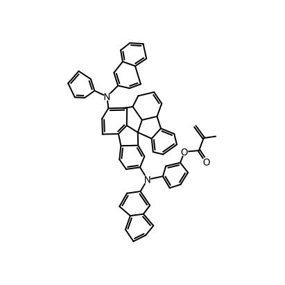 C=C(C)C(=O)Oc1cccc(N(c2ccc3c(c2)C2(c4cc(N(c5ccccc5)c5ccc6ccccc6c5)ccc4-3)c3ccccc3C3C=CCC(C)C32)c2ccc3ccccc3c2)c1